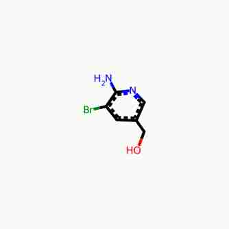 Nc1ncc(CO)cc1Br